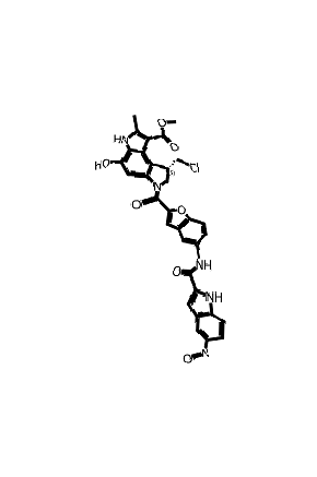 COC(=O)c1c(C)[nH]c2c(O)cc3c(c12)[C@H](CCl)CN3C(=O)c1cc2cc(NC(=O)c3cc4cc(N=O)ccc4[nH]3)ccc2o1